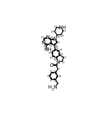 NCc1cccc(CC(=O)N2CCc3cc(-c4cn(C5CCNCC5)c5ncnc(N)c45)ccc32)c1